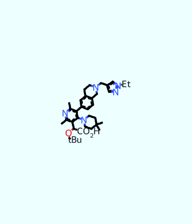 CCn1cc(CN2CCc3cc(-c4c(C)nc(C)c(C(OC(C)(C)C)C(=O)O)c4N4CCC(C)(C)CC4)ccc3C2)cn1